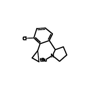 CC(C)(C)N1CCCC1c1cccc(Cl)c1C1CC1